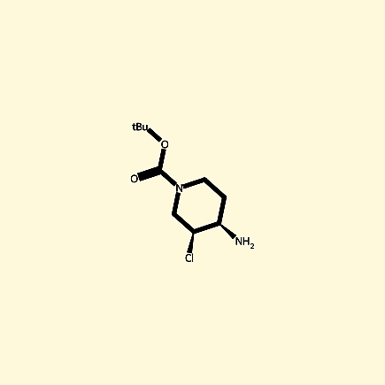 CC(C)(C)OC(=O)N1CC[C@@H](N)[C@@H](Cl)C1